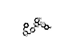 Fc1ccc(CNc2nc(N3CCN(CC4CN(Cc5ccccc5)CCO4)CC3)nc3c2CNCC3)c(Cl)c1